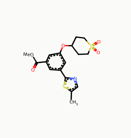 COC(=O)c1cc(OC2CCS(=O)(=O)CC2)cc(-c2ncc(C)s2)c1